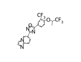 CC(Oc1ccc(-c2nc(-c3ccc4nccn4c3)no2)cc1C(F)(F)F)C(F)(F)F